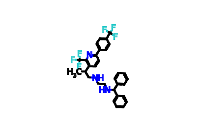 CC(CNCCNC(c1ccccc1)c1ccccc1)c1ccc(-c2ccc(C(F)(F)F)cc2)nc1C(F)(F)F